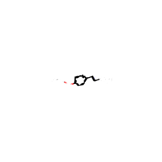 CCCCCOc1ccc(/C=C/C(=O)O)cc1